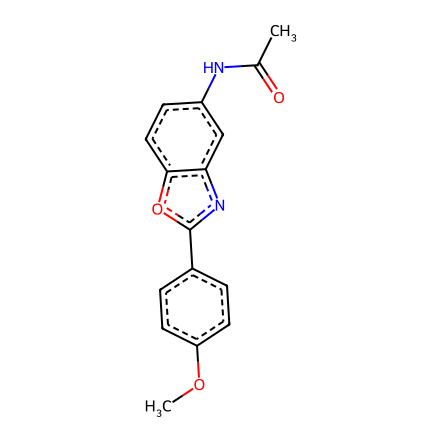 COc1ccc(-c2nc3cc(NC(C)=O)ccc3o2)cc1